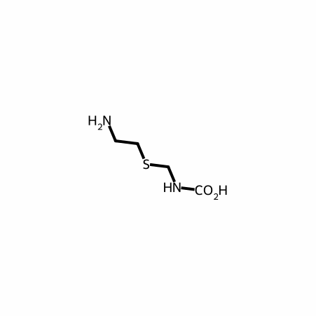 NCCSCNC(=O)O